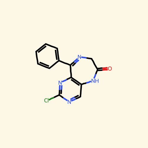 O=C1CN=C(c2ccccc2)c2nc(Cl)ncc2N1